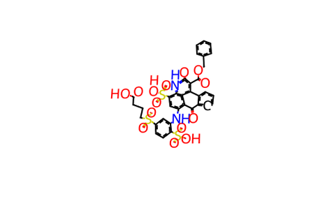 O=C(O)CCCS(=O)(=O)c1ccc(S(=O)(=O)O)c(Nc2cc(S(=O)(=O)O)c3[nH]c(=O)c(C(=O)OCc4ccccc4)c4c3c2C(=O)c2ccccc2-4)c1